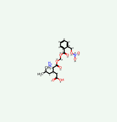 CC(C)CC(CC(=O)O)[C@H](N)C(=O)OCOC(=O)c1ccccc1CO[N+](=O)[O-]